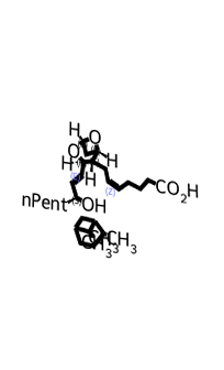 CC1CCC2CC1C2(C)C.CCCCC[C@H](O)/C=C/[C@H]1O[C@H]2C[C@H](O2)[C@@H]1C/C=C\CCCC(=O)O